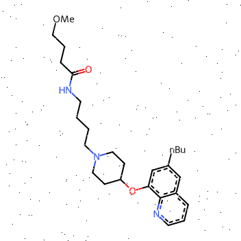 CCCCc1cc(OC2CCN(CCCCNC(=O)CCCOC)CC2)c2ncccc2c1